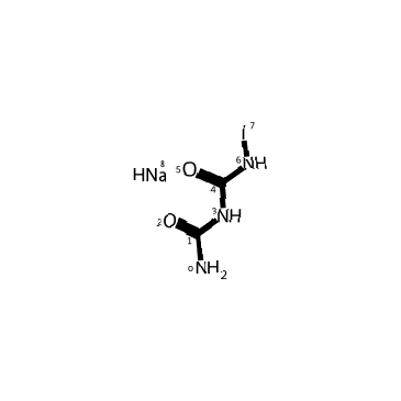 NC(=O)NC(=O)NI.[NaH]